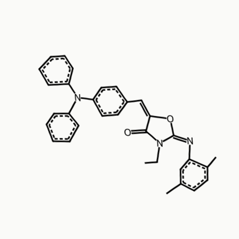 CCN1C(=O)/C(=C\c2ccc(N(c3ccccc3)c3ccccc3)cc2)O/C1=N/c1cc(C)ccc1C